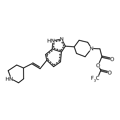 O=C(CN1CCC(c2n[nH]c3cc(C=CC4CCNCC4)ccc23)CC1)OC(=O)C(F)(F)F